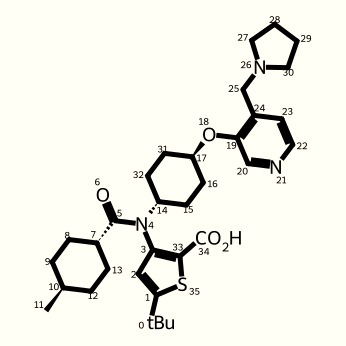 CC(C)(C)c1cc(N(C(=O)[C@H]2CC[C@H](C)CC2)[C@H]2CC[C@H](Oc3cnccc3CN3CCCC3)CC2)c(C(=O)O)s1